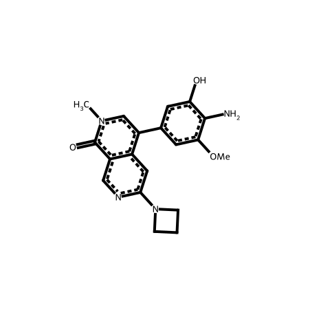 COc1cc(-c2cn(C)c(=O)c3cnc(N4CCC4)cc23)cc(O)c1N